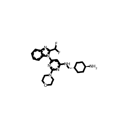 N[C@H]1CC[C@H](CNc2cc(-n3c(C(F)F)nc4ccccc43)nc(N3CCOCC3)n2)CC1